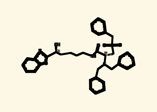 O=C(NCCCC[C@H](O)c1nc2ccccc2o1)[C@H](CS(=O)(=O)Cc1ccccc1)N(Cc1ccccc1)Cc1ccccc1